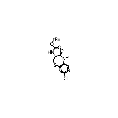 CN1C(=O)[C@@H](NC(=O)OC(C)(C)C)CSc2nc(Cl)ncc21